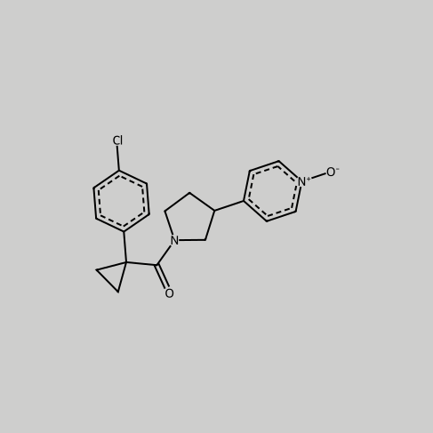 O=C(N1CCC(c2cc[n+]([O-])cc2)C1)C1(c2ccc(Cl)cc2)CC1